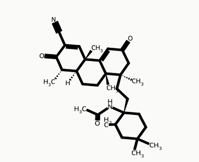 CC(=O)N[C@]1(CC[C@]2(C)CC(=O)C=C3[C@@]4(C)C=C(C#N)C(=O)[C@@H](C)[C@@H]4CC[C@]32C)CCC(C)(C)CC1C